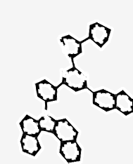 c1ccc(-c2cccc(-c3nc(-c4cccc(-n5c6ccc7ccccc7c6c6c7ccccc7ccc65)c4)cc(-c4ccc5ccccc5c4)n3)c2)cc1